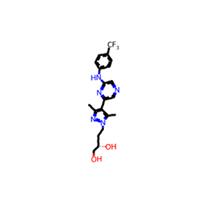 Cc1nn(CC[C@H](O)CO)c(C)c1-c1cncc(Nc2ccc(C(F)(F)F)cc2)n1